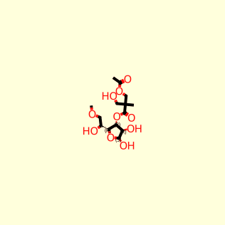 COCC(O)[C@H]1O[C@H](O)[C@H](O)[C@H]1OC(=O)C(C)(CO)COC(C)=O